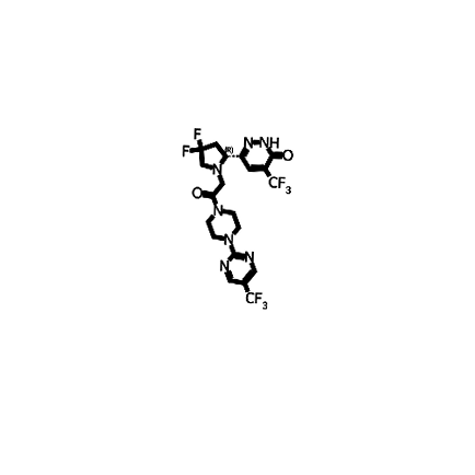 O=C(CN1CC(F)(F)C[C@@H]1c1cc(C(F)(F)F)c(=O)[nH]n1)N1CCN(c2ncc(C(F)(F)F)cn2)CC1